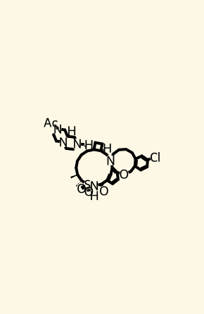 CC(=O)N1CCN2CCN(C[C@H]3CCC[C@H](C)[C@@H](C)S(=O)(=O)NC(=O)c4ccc5c(c4)N(CCCCc4cc(Cl)ccc4CO5)C[C@@H]4CC[C@@H]34)C[C@H]2C1